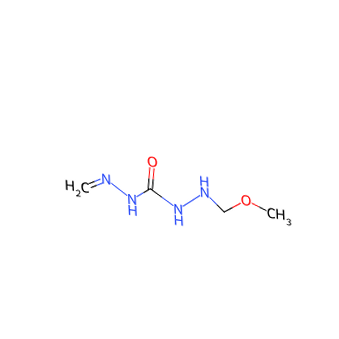 C=NNC(=O)NNCOC